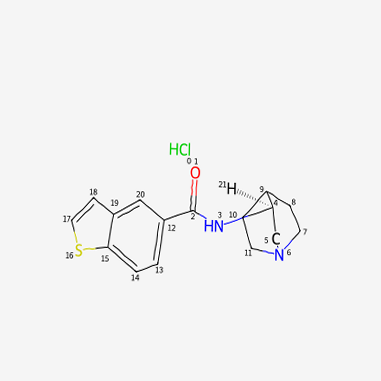 Cl.O=C(N[C@@H]1CN2CCC1CC2)c1ccc2sccc2c1